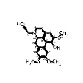 C#CCN1CCc2cc(OC)c(O)c3c2C1Cc1cc(OC)c(OC)cc1-3